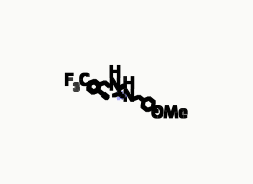 C#Cc1ccc(C(F)(F)F)cc1CCNC(=C)/C(C)=C\NCCC1CCC(OC)CC1